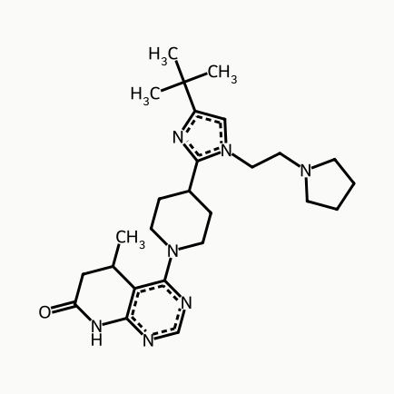 CC1CC(=O)Nc2ncnc(N3CCC(c4nc(C(C)(C)C)cn4CCN4CCCC4)CC3)c21